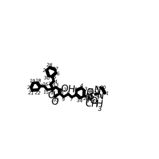 CN(c1cccc(CCCC2=C(O)CC(CCc3ccccc3)(CCc3ccccc3)OC2=O)c1)S(=O)(=O)c1ncc[nH]1